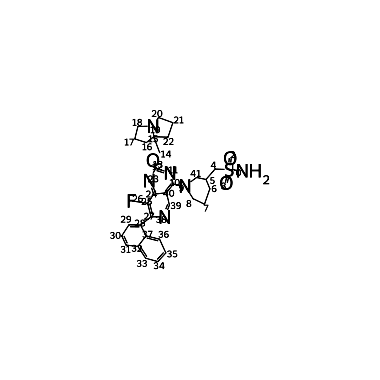 NS(=O)(=O)CC1CCCN(c2nc(OCC34CCCN3CCC4)nc3c(F)c(-c4cccc5ccccc45)ncc23)C1